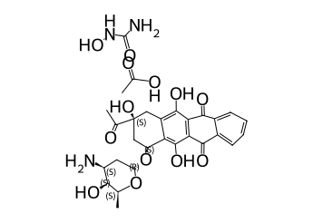 CC(=O)O.CC(=O)[C@]1(O)Cc2c(O)c3c(c(O)c2[C@@H](O[C@H]2C[C@H](N)[C@H](O)[C@H](C)O2)C1)C(=O)c1ccccc1C3=O.NC(=O)NO